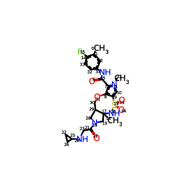 Cc1cc(NC(=O)c2c3c(cn2C)S(=O)(=O)NC2(C)CN(C(=O)CNC4CC4)CC2CO3)ccc1F